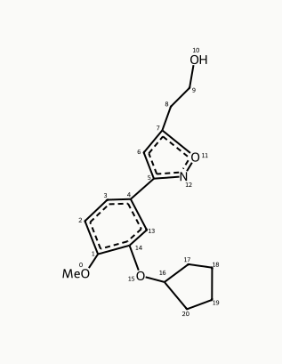 COc1ccc(-c2cc(CCO)on2)cc1OC1CCCC1